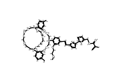 C=C(C)C(=O)OCc1ccc(-c2ccc(/C=C/c3ccc(N4CCOc5cc(C)ccc5N5CCOCCOCCN(CCOCCOCC5)c5ccc(C)cc5OCC4)c(OCCOC)c3)s2)s1